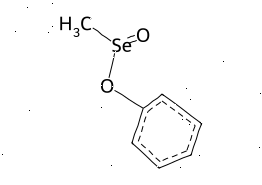 C[Se](=O)Oc1ccccc1